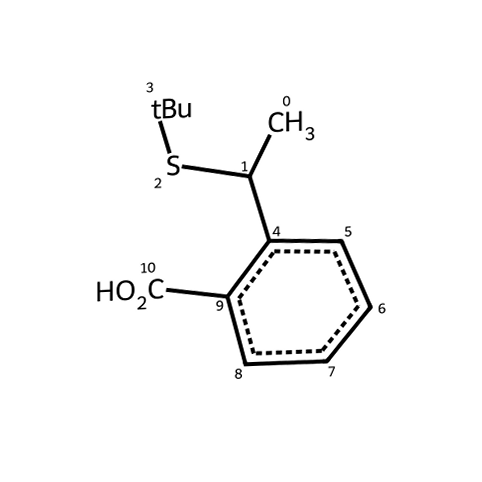 CC(SC(C)(C)C)c1ccccc1C(=O)O